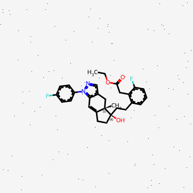 CCOC(=O)Cc1c(F)cccc1CC[C@]1(O)CCC2=Cc3c(cnn3-c3ccc(F)cc3)C[C@@]21C